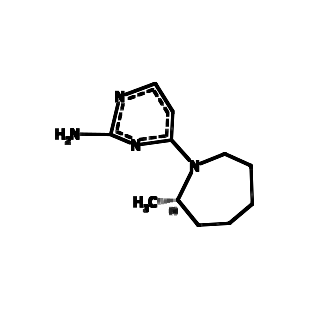 C[C@H]1CCCCCN1c1ccnc(N)n1